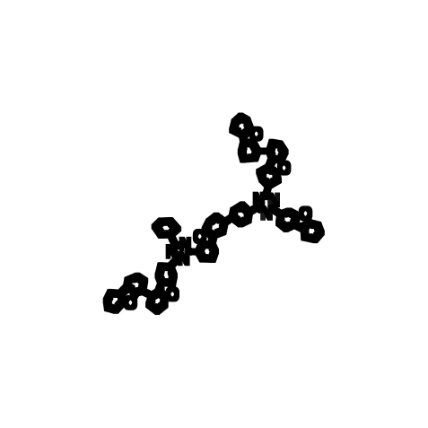 c1ccc(-c2nc(-c3ccc4c(c3)oc3cccc(-c5cccc6c5oc5ccccc56)c34)nc(-c3cccc4c3oc3ccc(-c5ccc(-c6nc(-c7ccc8c(c7)oc7ccccc78)nc(-c7ccc8c(c7)oc7cccc(-c9cccc%10c9oc9ccccc9%10)c78)n6)cc5)cc34)n2)cc1